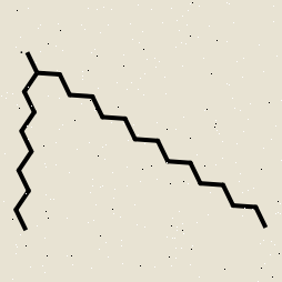 [CH2]C(CCCCCCCC)CCCCCCCCCCCCCC